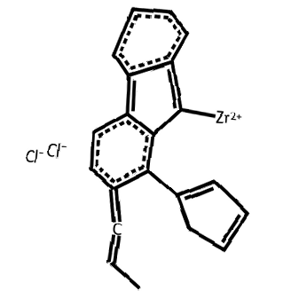 CC=C=c1ccc2c(c1C1=CC=CC1)[C]([Zr+2])=c1ccccc1=2.[Cl-].[Cl-]